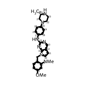 CNc1cc(OC)ccc1Cn1ccc2cnc(Nc3ccc(N4CCN[C@@H](C)C4)cc3)nc21